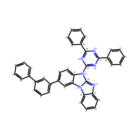 c1ccc(-c2cccc(-c3ccc4c(c3)n3c5ccccc5nc3n4-c3nc(-c4ccccc4)nc(-c4ccccc4)n3)c2)cc1